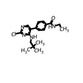 CCNC(=O)c1ccc(-c2cnc(Cl)nc2NCC(C)(C)C)cc1